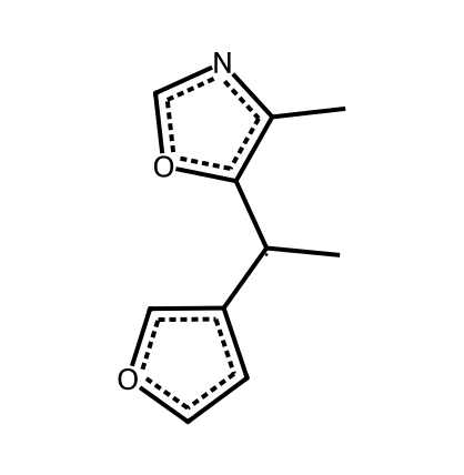 C[C](c1ccoc1)c1ocnc1C